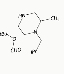 CC(C)(C)OC=O.CC(C)CN1CCNCC1C